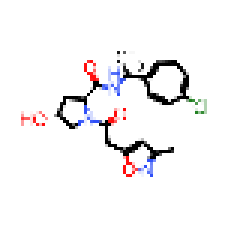 Cc1cc(CC(=O)N2C[C@H](O)C[C@H]2C(=O)NC(C2=CCC=C(Cl)C=C2)C(F)(F)F)on1